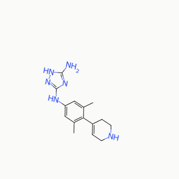 Cc1cc(Nc2n[nH]c(N)n2)cc(C)c1C1=CCNCC1